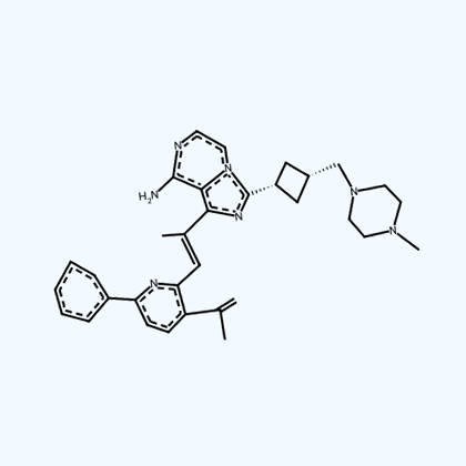 C=C(C)c1ccc(-c2ccccc2)nc1/C=C(\C)c1nc([C@H]2C[C@@H](CN3CCN(C)CC3)C2)n2ccnc(N)c12